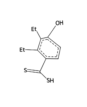 CCc1c(O)ccc(C(=S)S)c1CC